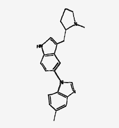 Cc1ccc2c(c1)ncn2-c1ccc2[nH]cc(CC3CCCN3C)c2c1